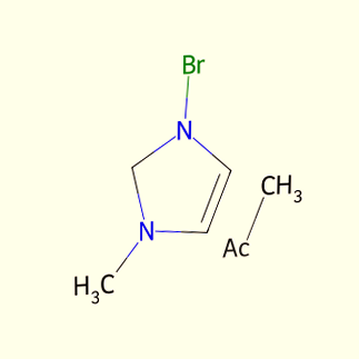 CC(C)=O.CN1C=CN(Br)C1